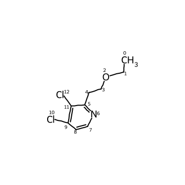 CCOCCc1nccc(Cl)c1Cl